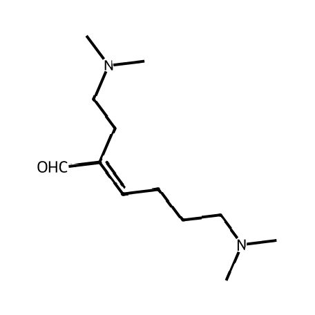 CN(C)CCC/C=C(/C=O)CCN(C)C